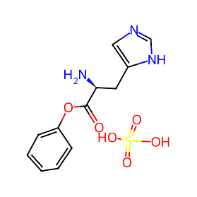 N[C@@H](Cc1cnc[nH]1)C(=O)Oc1ccccc1.O=S(=O)(O)O